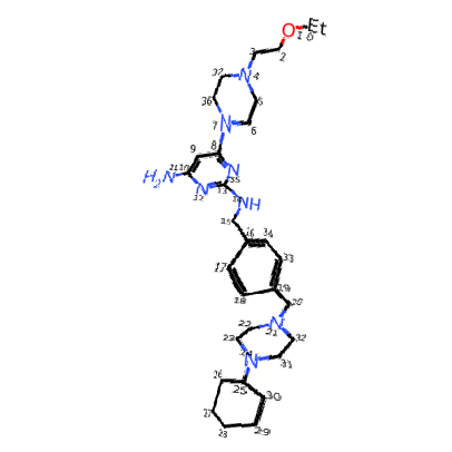 CCOCCN1CCN(c2cc(N)nc(NCc3ccc(CN4CCN(C5CCCCC5)CC4)cc3)n2)CC1